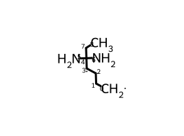 [CH2]CC[CH]C(N)(N)CC